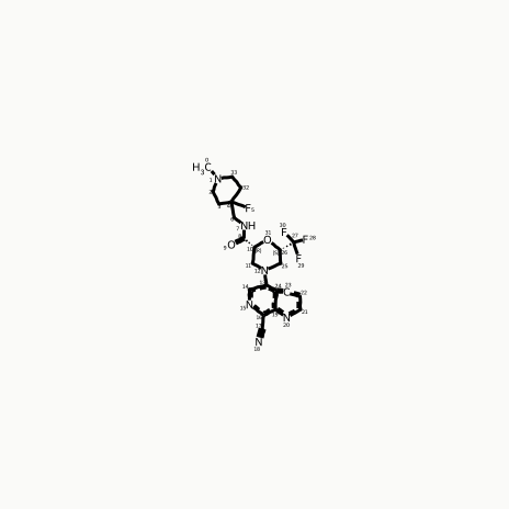 CN1CCC(F)(CNC(=O)[C@H]2CN(c3cnc(C#N)c4ncccc34)C[C@@H](C(F)(F)F)O2)CC1